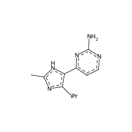 Cc1nc(C(C)C)c(-c2ccnc(N)n2)[nH]1